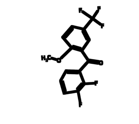 COc1ccc(C(F)(F)F)cc1C(=O)c1cccc(F)c1F